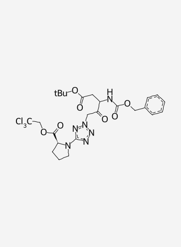 CC(C)(C)OC(=O)CC(NC(=O)OCc1ccccc1)C(=O)Cn1nnc(N2CCC[C@H]2C(=O)OCC(Cl)(Cl)Cl)n1